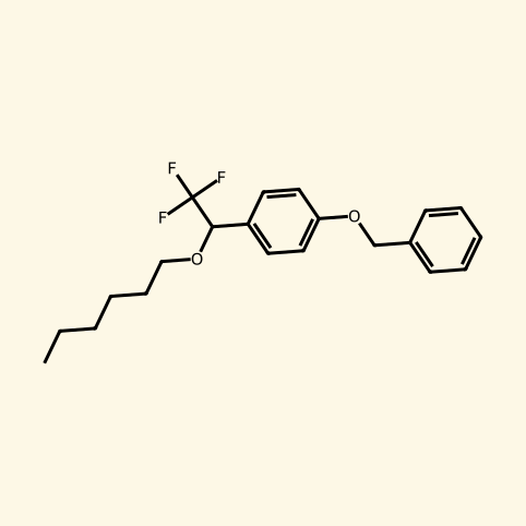 CCCCCCOC(c1ccc(OCc2ccccc2)cc1)C(F)(F)F